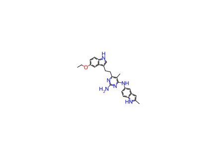 CCOc1ccc2[nH]cc(CCc3nc(N)nc(Nc4ccc5[nH]c(C)cc5c4)c3C)c2c1